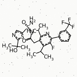 CC(C)c1nc(-c2cccc(C(F)(F)F)c2)c(F)c(C(C)C)c1CC(=O)N=S(N)(=O)c1cnc(C(C)(C)O)s1